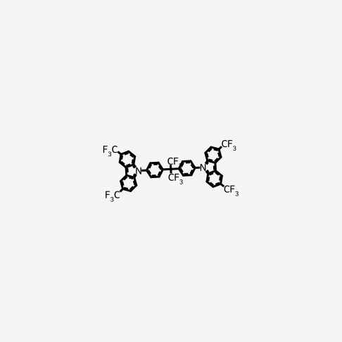 FC(F)(F)c1ccc2c(c1)c1cc(C(F)(F)F)ccc1n2-c1ccc(C(c2ccc(-n3c4ccc(C(F)(F)F)cc4c4cc(C(F)(F)F)ccc43)cc2)(C(F)(F)F)C(F)(F)F)cc1